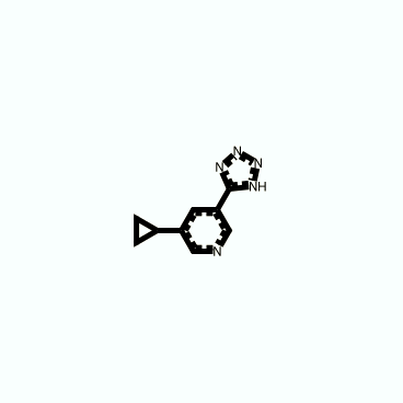 c1ncc(C2CC2)cc1-c1nnn[nH]1